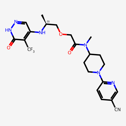 C[C@@H](COCC(=O)N(C)C1CCN(c2ccc(C#N)cn2)CC1)Nc1cn[nH]c(=O)c1C(F)(F)F